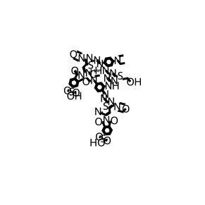 [C-]#[N+]/C(=C\c1sc(/N=N/c2ccc(N(CC)CC)cc2Nc2nc(Nc3cc(N(CC)CC)ccc3/N=N/c3nc(N4CCOCC4)c(/C=C(\C#N)N4C(=O)c5ccc(S(=O)(=O)O)cc5C4=O)s3)nc(SCCO)n2)nc1N1CCOCC1)N1C(=O)c2ccc(S(=O)(=O)O)cc2C1=O